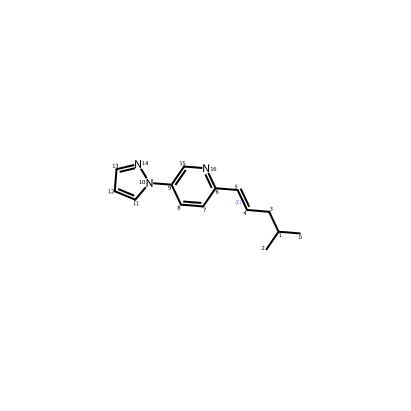 CC(C)C/C=C/c1ccc(-n2cccn2)cn1